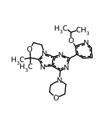 CC(C)Oc1ncccc1-c1nc(N2CCOCC2)c2nc3n(c2n1)CCOC3(C)C